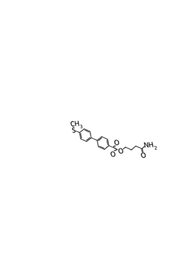 CSc1ccc(-c2ccc(S(=O)(=O)OCCCC(N)=O)cc2)cc1